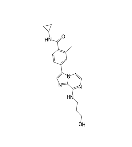 Cc1cc(-c2cnc3c(NCCCO)nccn23)ccc1C(=O)NC1CC1